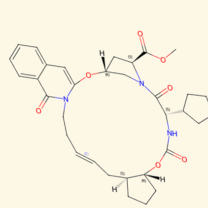 COC(=O)[C@@H]1C[C@@H]2CN1C(=O)[C@H](C1CCCC1)NC(=O)O[C@@H]1CCC[C@H]1C/C=C/CCn1c(cc3ccccc3c1=O)O2